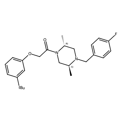 C[C@@H]1CN(Cc2ccc(F)cc2)[C@@H](C)CN1C(=O)COc1cccc(C(C)(C)C)c1